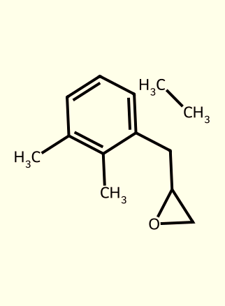 CC.Cc1cccc(CC2CO2)c1C